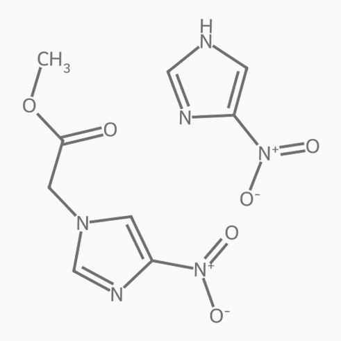 COC(=O)Cn1cnc([N+](=O)[O-])c1.O=[N+]([O-])c1c[nH]cn1